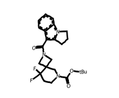 CC(C)(C)OC(=O)N1CCC(F)(F)C2(C1)CN(C(=O)c1c3n(c4ccccc14)CCC3)C2